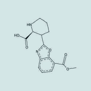 COC(=O)c1cccc2nc(C3CCCN[C@@H]3C(=O)O)oc12